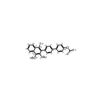 CCCCc1c(-c2ccc(-c3ccc(OC(F)F)cc3)cc2)c(F)c2ccccc2c1CCCC